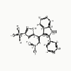 O=[N+]([O-])CC(c1cc(S(=O)(=O)F)cs1)c1c(-c2ccccc2)[nH]c2ccccc12